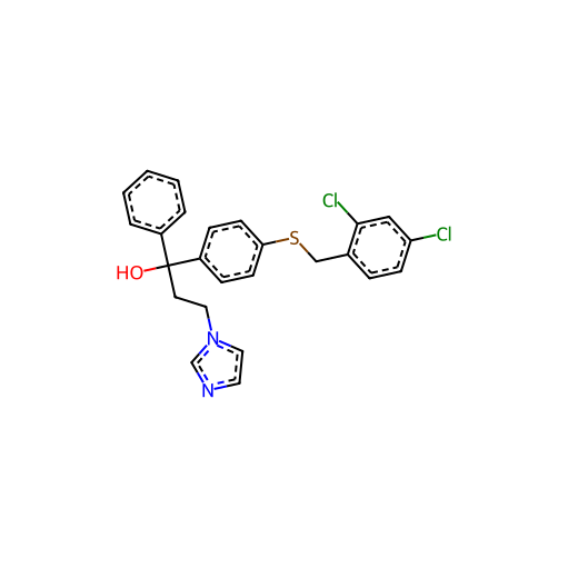 OC(CCn1ccnc1)(c1ccccc1)c1ccc(SCc2ccc(Cl)cc2Cl)cc1